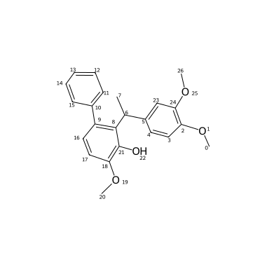 COc1ccc(C(C)c2c(-c3ccccc3)ccc(OC)c2O)cc1OC